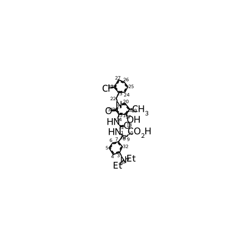 CCN(CC)c1cccc([C@H](CC(=O)O)NC(=O)Nc2c(O)c(C)cn(Cc3ccccc3Cl)c2=O)c1